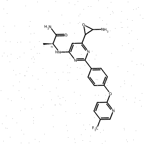 C[C@H](Nc1cc(C2OC2N)nc(-c2ccc(Oc3ccc(C(F)(F)F)cn3)cc2)n1)C(N)=O